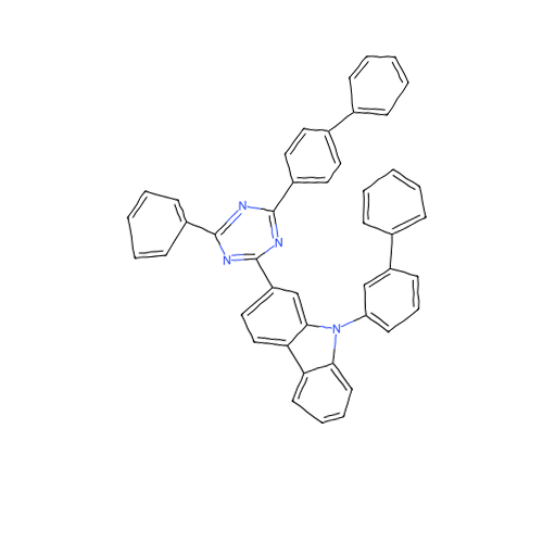 c1ccc(-c2ccc(-c3nc(-c4ccccc4)nc(-c4ccc5c6ccccc6n(-c6cccc(-c7ccccc7)c6)c5c4)n3)cc2)cc1